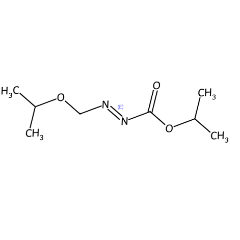 CC(C)OC/N=N/C(=O)OC(C)C